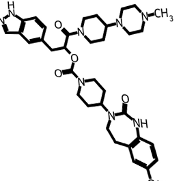 COc1ccc2c(c1)CCN(C1CCN(C(=O)OC(Cc3ccc4[nH]ncc4c3)C(=O)N3CCC(N4CCN(C)CC4)CC3)CC1)C(=O)N2